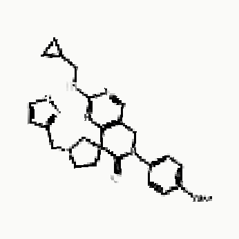 COc1ccc(N2Cc3cnc(NCC4CC4)nc3C3(CCN(Cc4ccon4)C3)C2=O)cc1